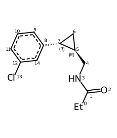 CCC(=O)NC[C@@H]1C[C@H]1c1cccc(Cl)c1